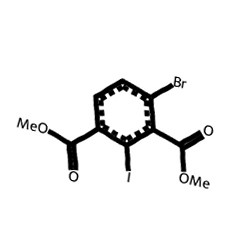 COC(=O)c1ccc(Br)c(C(=O)OC)c1I